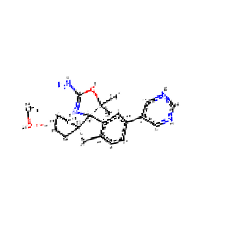 [2H]C1([2H])OC(N)=N[C@]12c1cc(-c3cncnc3)ccc1C[C@]21CC[C@@H](OC)CC1